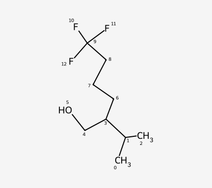 CC(C)C(CO)CCCC(F)(F)F